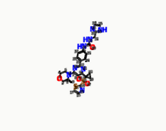 C[C@H]1COCCN1c1cc(C2(S(=O)(=O)c3nccs3)CC2)nc(-c2ccc(NC(=O)NCc3ncc[nH]3)cc2)n1